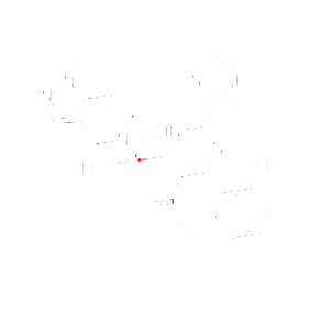 COC(=O)C1=C(CN2C3COC[C@H]2c2cn[nH]c2C3)NC(c2nccs2)=NC1c1ccc(F)cc1Cl